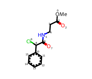 COC(=O)CCNC(=O)C(Cl)c1ccccc1